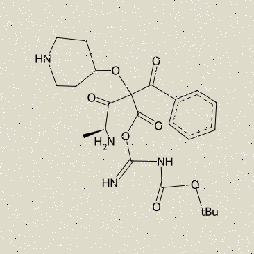 C[C@H](N)C(=O)C(OC1CCNCC1)(C(=O)OC(=N)NC(=O)OC(C)(C)C)C(=O)c1ccccc1